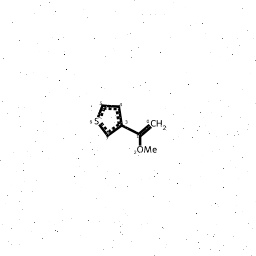 C=C(OC)c1ccsc1